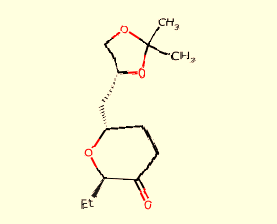 CC[C@H]1O[C@H](C[C@@H]2COC(C)(C)O2)CCC1=O